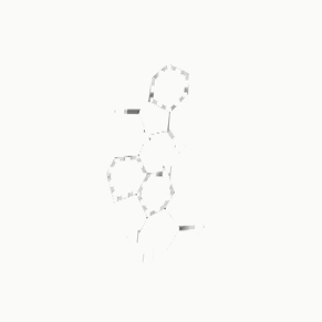 CCCC(=O)c1cnc2c(N3C(=O)c4ccccc4C3=O)cccc2c1Cl